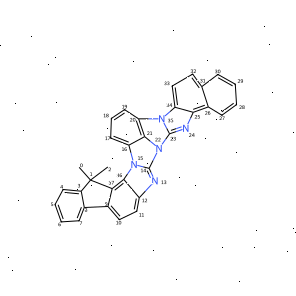 CC1(C)c2ccccc2-c2ccc3nc4n(c5cccc6c5n4c4nc5c7ccccc7ccc5n64)c3c21